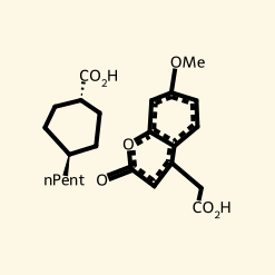 CCCCC[C@H]1CC[C@H](C(=O)O)CC1.COc1ccc2c(CC(=O)O)cc(=O)oc2c1